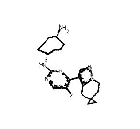 N[C@H]1CC[C@H](Nc2ncc(F)c(-c3cnn4c3CC3(CC4)CC3)n2)CC1